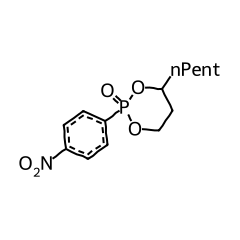 CCCCCC1CCOP(=O)(c2ccc([N+](=O)[O-])cc2)O1